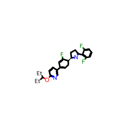 CCC(CC)Oc1ccc(C2=CCC([C@H]3CCC(c4c(F)cccc4F)=N3)C(F)=C2)cn1